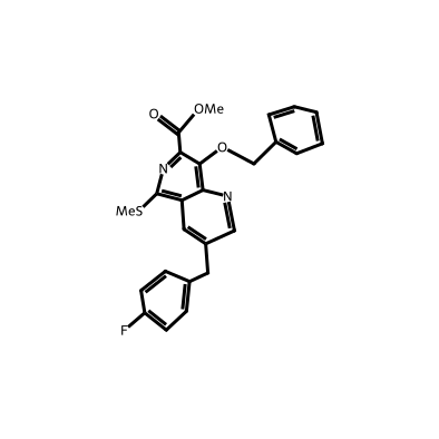 COC(=O)c1nc(SC)c2cc(Cc3ccc(F)cc3)cnc2c1OCc1ccccc1